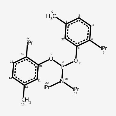 Cc1ccc(C(C)C)c(OP(Oc2cc(C)ccc2C(C)C)N(C(C)C)C(C)C)c1